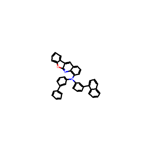 c1ccc(-c2cccc(N(c3cccc(-c4cccc5ccccc45)c3)c3cccc4cc5c(nc34)oc3ccccc35)c2)cc1